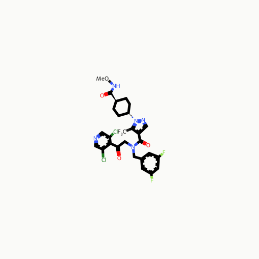 CONC(=O)[C@H]1CC[C@H](n2ncc(C(=O)N(CC(=O)c3c(Cl)cncc3Cl)Cc3cc(F)cc(F)c3)c2C(F)(F)F)CC1